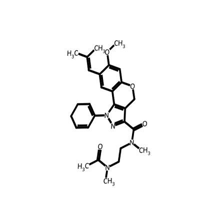 COc1cc2c(cc1C=C(C)C)-c1c(c(C(=O)N(C)CCN(C)C(C)=O)nn1C1=CCCC=C1)CO2